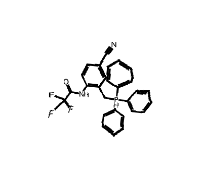 N#Cc1ccc(NC(=O)C(F)(F)F)c(C[PH](c2ccccc2)(c2ccccc2)c2ccccc2)c1